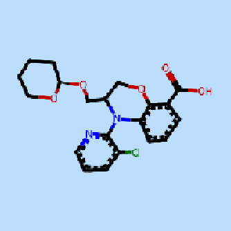 O=C(O)c1cccc2c1OCC(CO[C@@H]1CCCCO1)N2c1ncccc1Cl